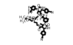 CC(C)(C)OC(=O)C[N+](C)(CCCN1CC2=C(C1=O)C(c1ccc(C#N)cc1)NC(=O)N2c1ccc(F)c(C(F)(F)F)c1)CCCN1CC2=C(C1=O)C(c1ccc(C#N)cc1)NC(=O)N2c1ccc(F)c(C(F)(F)F)c1